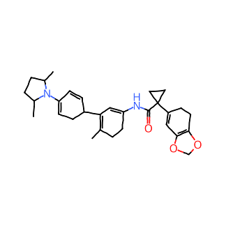 CC1=C(C2C=CC(N3C(C)CCC3C)=CC2)C=C(NC(=O)C2(C3=CC4=C(CC3)OCO4)CC2)CC1